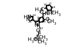 COc1cc2c(cc1C(=O)Nc1c(C)cccc1C)c(-c1cn[nH]c1)nn2COCC[Si](C)(C)C